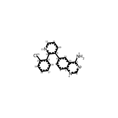 Nc1ncnc2ccc(-c3cccnc3-c3ccccc3Cl)cc12